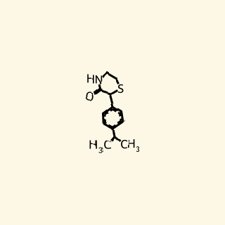 CC(C)c1ccc(C2SCCNC2=O)cc1